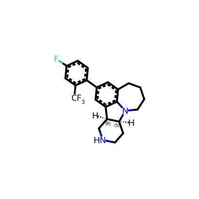 Fc1ccc(-c2cc3c4c(c2)[C@@H]2CNCC[C@@H]2N4CCCC3)c(C(F)(F)F)c1